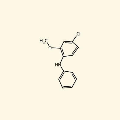 COc1cc(Cl)ccc1Nc1ccccc1